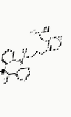 CCN(CC)CC1COCCN1CCCC(=O)N1c2ccccc2NC(=O)c2ccccc21